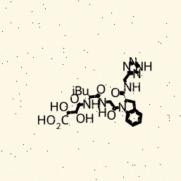 CC[C@H](C)[C@H](NC(=O)[C@@H](O)[C@H](O)C(=O)O)C(=O)NCC(=O)N1c2ccccc2C[C@H]1C(=O)NCc1nn[nH]n1